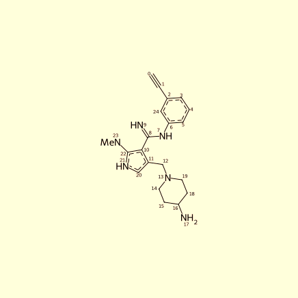 C#Cc1cccc(NC(=N)c2c(CN3CCC(N)CC3)c[nH]c2NC)c1